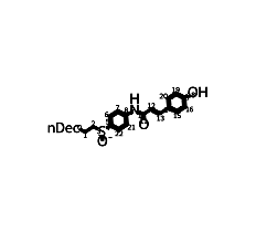 CCCCCCCCCCCC[S+]([O-])c1ccc(NC(=O)C=Cc2ccc(O)cc2)cc1